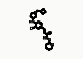 O=C(/C=C/c1cnc(N[C@@H]2CCN(CC3CCC3)C2)c(Cl)c1)NOC1CCCCO1